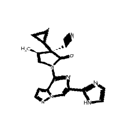 C[C@@H]1CN(c2nc(-c3ncc[nH]3)cn3nccc23)C(=O)[C@]1(C#N)C1CC1